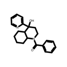 O=C(c1ccccc1)N1CCC(O)(c2ccccn2)C2CCCCC21